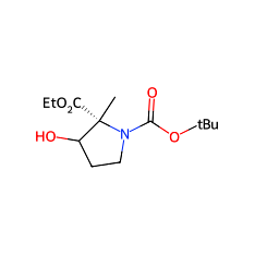 CCOC(=O)[C@@]1(C)C(O)CCN1C(=O)OC(C)(C)C